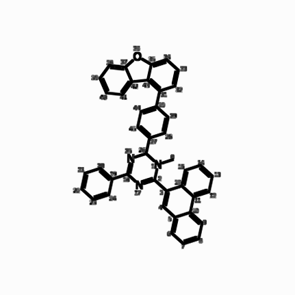 CN1C(c2cc3ccccc3c3ccccc23)=NC(c2ccccc2)=NC1c1ccc(-c2cccc3oc4ccccc4c23)cc1